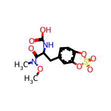 CON(C)C(=O)C(Cc1ccc2c(c1)OS(=O)(=O)O2)NC(=O)O